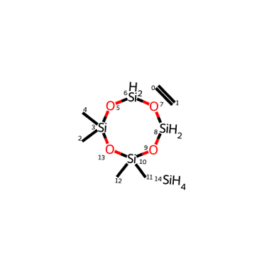 C=C.C[Si]1(C)O[SiH2]O[SiH2]O[Si](C)(C)O1.[SiH4]